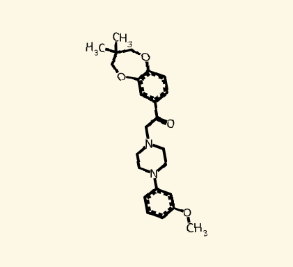 COc1cccc(N2CCN(CC(=O)c3ccc4c(c3)OCC(C)(C)CO4)CC2)c1